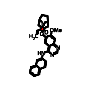 C=CC(=O)N1C2CCC1CC(Oc1cc3c(Nc4ccc5ccccc5c4)ncnc3cc1OC)C2